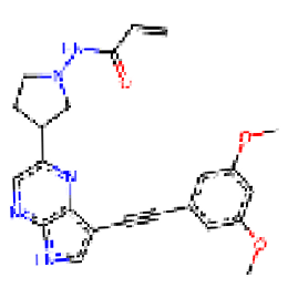 C=CC(=O)NN1CCC(c2cnc3[nH]cc(C#Cc4cc(OC)cc(OC)c4)c3n2)C1